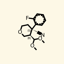 COC(OC)[C@H]1COCC[C@@]1(C#N)c1ccccc1F